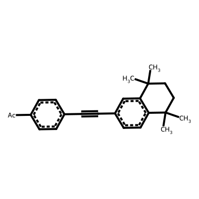 CC(=O)c1ccc(C#Cc2ccc3c(c2)C(C)(C)CCC3(C)C)cc1